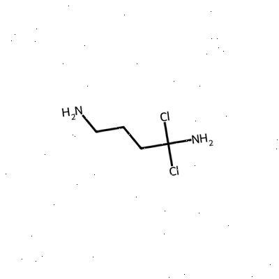 NCCCC(N)(Cl)Cl